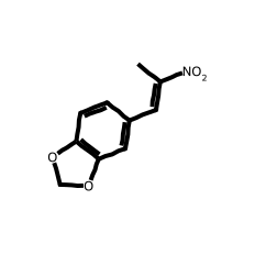 C/C(=C\c1ccc2c(c1)OCO2)[N+](=O)[O-]